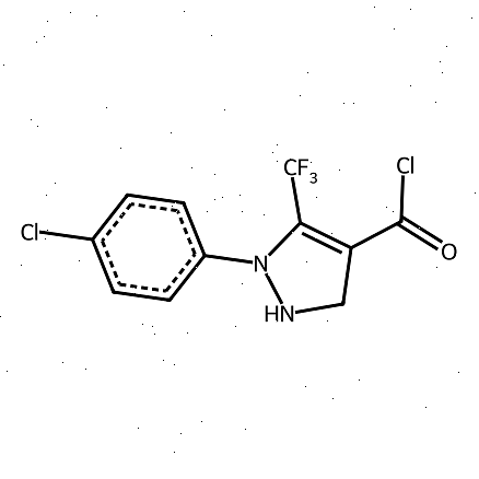 O=C(Cl)C1=C(C(F)(F)F)N(c2ccc(Cl)cc2)NC1